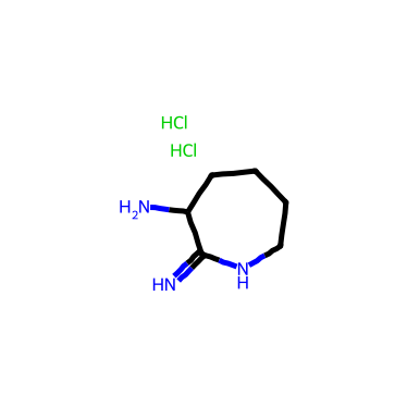 Cl.Cl.N=C1NCCCCC1N